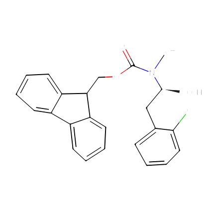 CN(C(=O)OCC1c2ccccc2-c2ccccc21)[C@H](Cc1ccccc1Cl)C(=O)O